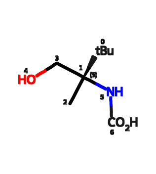 CC(C)(C)[C@@](C)(CO)NC(=O)O